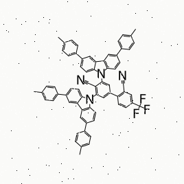 Cc1ccc(-c2ccc3c(c2)c2cc(-c4ccc(C)cc4)ccc2n3-c2cc(-c3ccc(C(F)(F)F)cc3C#N)cc(-n3c4ccc(-c5ccc(C)cc5)cc4c4cc(-c5ccc(C)cc5)ccc43)c2C#N)cc1